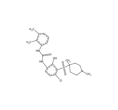 Cc1cccc(NC(=O)Nc2ccc(Cl)c(S(=O)(=O)C3(C)CCN(C)CC3)c2O)c1C